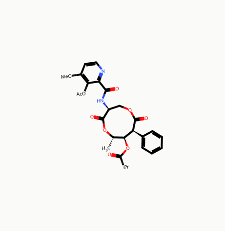 COc1ccnc(C(=O)N[C@H]2COC(=O)[C@@H](c3ccccc3)[C@@H](OC(=O)C(C)C)[C@H](C)OC2=O)c1OC(C)=O